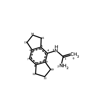 C=C(N)Nc1c2c(cc3c1CCC3)CCC2